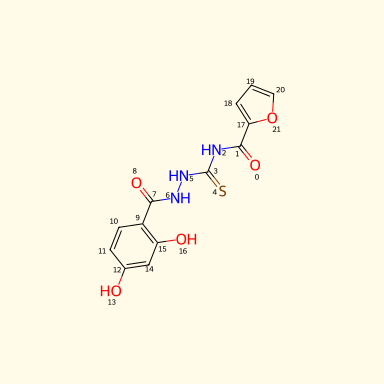 O=C(NC(=S)NNC(=O)c1ccc(O)cc1O)c1ccco1